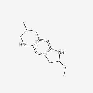 CCC1Cc2cc3c(cc2N1)CC(C)CN3